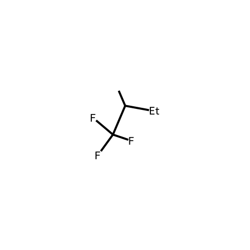 CCC(C)C(F)(F)F